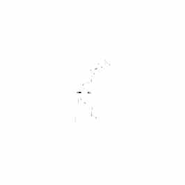 CC(O)CNS(=O)(=O)CCN=[N+]=[N-]